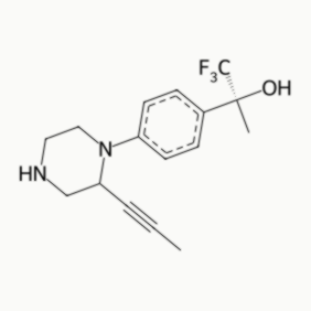 CC#CC1CNCCN1c1ccc([C@](C)(O)C(F)(F)F)cc1